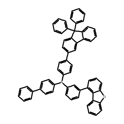 c1ccc(-c2ccc(N(c3ccc(-c4ccc5c(c4)-c4ccccc4C5(c4ccccc4)c4ccccc4)cc3)c3cccc(-c4cccc5oc6ccccc6c45)c3)cc2)cc1